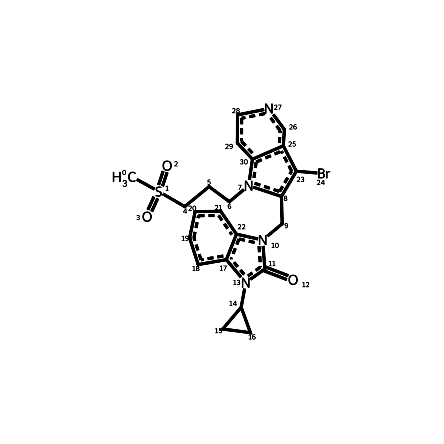 CS(=O)(=O)CCCn1c(Cn2c(=O)n(C3CC3)c3ccccc32)c(Br)c2cnccc21